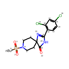 CCCCS(=O)(=O)N1CCC2(CC1)N=C(c1ccc(Cl)cc1Cl)NC2=O